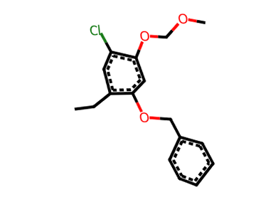 CCc1cc(Cl)c(OCOC)cc1OCc1ccccc1